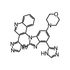 CCc1nc2c(-c3nnc[nH]3)cc(N3CCOCC3)cc2n1-c1c(-c2nnc[nH]2)cnc2ccccc12